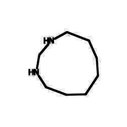 C1CCCNCNCCC1